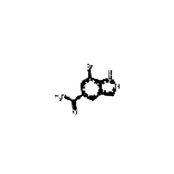 NC(=O)c1cc(Br)c2[nH]ncc2c1